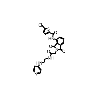 O=C(CN1C(=O)c2cccc(NC(=O)c3ccc(Cl)s3)c2C1=O)NCCNc1ccncc1